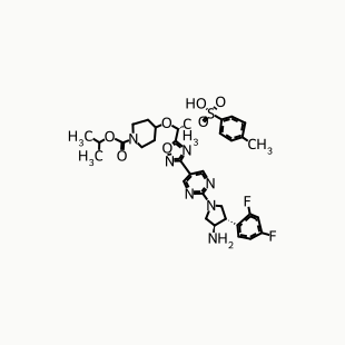 CC(C)OC(=O)N1CCC(O[C@H](C)c2nc(-c3cnc(N4C[C@H](c5ccc(F)cc5F)[C@@H](N)C4)nc3)no2)CC1.Cc1ccc(S(=O)(=O)O)cc1